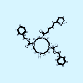 O=C(CCCCC1CCSS1)N1CCN(C(=O)OCc2ccccc2)CCNCCN(C(=O)OCc2ccccc2)CC1